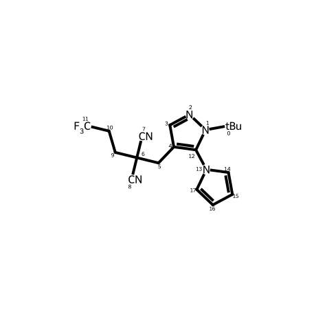 CC(C)(C)n1ncc(CC(C#N)(C#N)CCC(F)(F)F)c1-n1cccc1